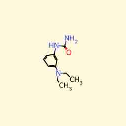 CCN(CC)c1cccc(NC(N)=O)c1